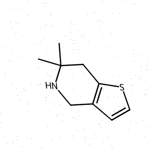 CC1(C)Cc2sccc2CN1